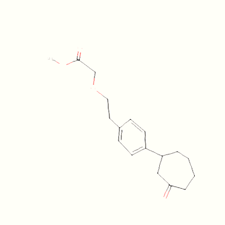 CC(C)(C)OC(=O)COCCc1ccc(C2CCCCC(=O)C2)cc1